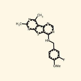 COc1ccc(CNc2ncnc3c2sc2nc(C)nc(C)c23)cc1F